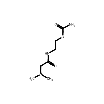 CN(C)CC(=O)NCCOC(N)=O